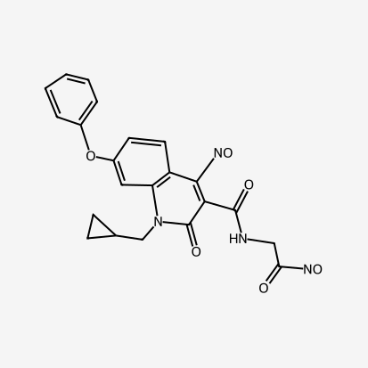 O=NC(=O)CNC(=O)c1c(N=O)c2ccc(Oc3ccccc3)cc2n(CC2CC2)c1=O